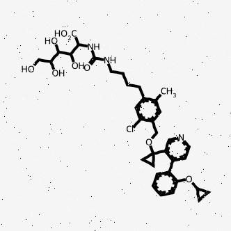 Cc1cc(COC2(c3cnccc3-c3ccccc3OC3CC3)CC2)c(Cl)cc1CCCCNC(=O)NC(C(=O)O)C(O)C(O)C(O)CO